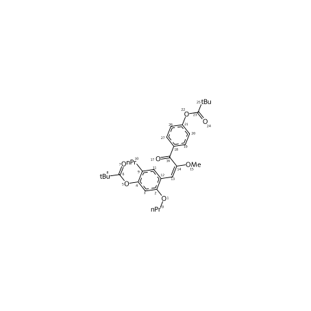 CCCOc1cc(OC(=O)C(C)(C)C)c(CCC)cc1C=C(OC)C(=O)c1ccc(OC(=O)C(C)(C)C)cc1